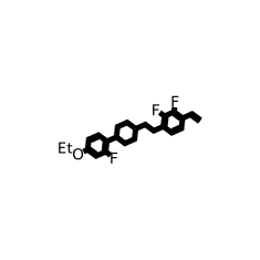 C=Cc1ccc(CCC2CCC(c3ccc(OCC)cc3F)CC2)c(F)c1F